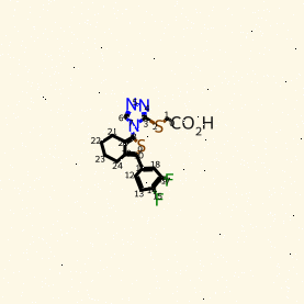 O=C(O)CSc1nncn1-c1sc(-c2ccc(F)c(F)c2)c2c1CCCC2